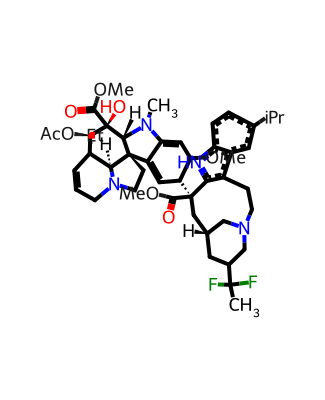 CC[C@]12C=CCN3CC[C@@]4(C5=CC([C@@]6(C(=O)OC)C[C@H]7CC(C(C)(F)F)CN(CCc8c6[nH]c6ccc(C(C)C)cc86)C7)C(OC)C=C5N(C)[C@H]4[C@@](O)(C(=O)OC)[C@@H]1OC(C)=O)[C@@H]32